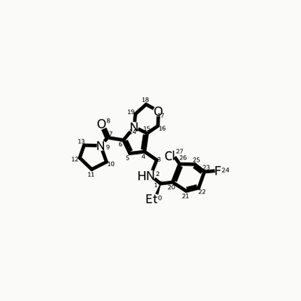 CC[C@@H](NCc1cc(C(=O)N2CCCC2)n2c1COCC2)c1ccc(F)cc1Cl